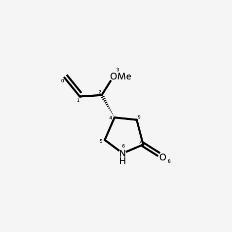 C=CC(OC)[C@H]1CNC(=O)C1